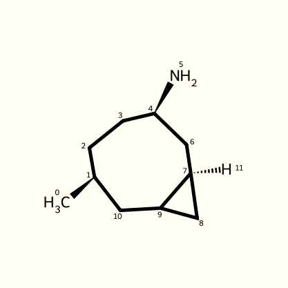 C[C@H]1CC[C@@H](N)C[C@H]2CC2C1